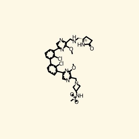 COc1nc(-c2cccc(-c3cccc(-c4cnc(CN5CC(NS(C)(=O)=O)C5)c(OC)n4)c3Cl)c2Cl)cnc1CNC[C@@H]1CCC(=O)N1